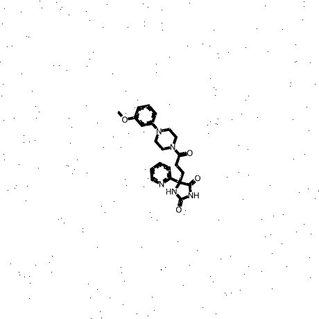 COc1cccc(N2CCN(C(=O)CCC3(c4ccccn4)NC(=O)NC3=O)CC2)c1